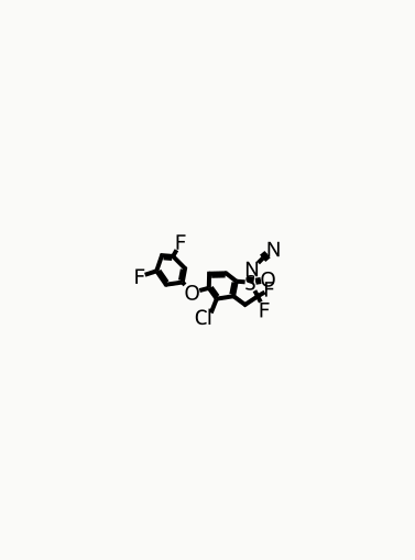 N#CN=S1(=O)c2ccc(Oc3cc(F)cc(F)c3)c(Cl)c2CC1(F)F